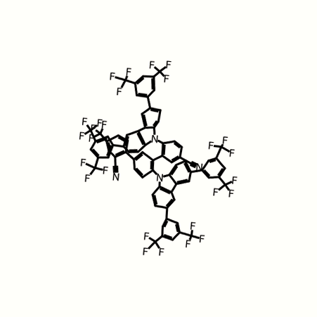 N#Cc1ccc(-n2c3ccc(-c4cc(C(F)(F)F)cc(C(F)(F)F)c4)cc3c3cc(-c4cc(C(F)(F)F)cc(C(F)(F)F)c4)ccc32)c(-c2cc(-c3ccc(C(F)(F)F)cc3C#N)ccc2-n2c3ccc(-c4cc(C(F)(F)F)cc(C(F)(F)F)c4)cc3c3cc(-c4cc(C(F)(F)F)cc(C(F)(F)F)c4)ccc32)c1